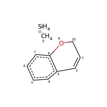 C.C1=Cc2ccccc2OC1.[SiH4]